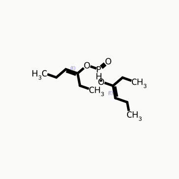 CC/C=C(\CC)O[PH](=O)O/C(=C/CC)CC